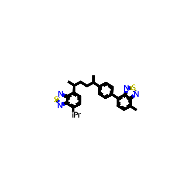 Cc1ccc(-c2ccc(C(C)CCC(C)c3ccc(C(C)C)c4nsnc34)cc2)c2nsnc12